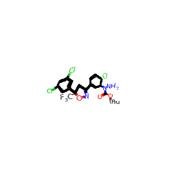 CC(C)(C)OC(=O)N(N)C1C=C(C2=NO[C@](c3cc(Cl)cc(Cl)c3)(C(F)(F)F)C2)C=CC1Cl